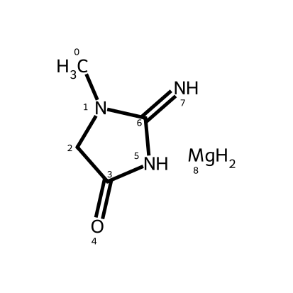 CN1CC(=O)NC1=N.[MgH2]